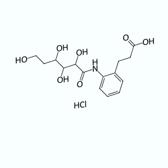 Cl.O=C(O)CCc1ccccc1NC(=O)C(O)C(O)C(O)CCO